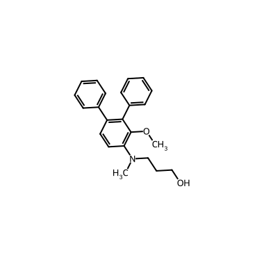 COc1c(N(C)CCCO)ccc(-c2ccccc2)c1-c1ccccc1